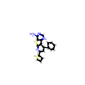 Nc1ncnc2c1sc1nc(-c3cccs3)cc(-c3ccccc3)c12